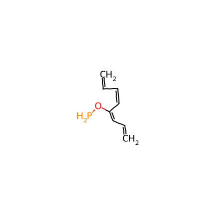 C=C/C=C\C(=C/C=C)OP